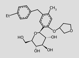 CCc1ccc(Cc2cc([C@@H]3O[C@H](CO)[C@@H](O)[C@H](O)[C@H]3O)c(OC3CCOC3)cc2C)cc1